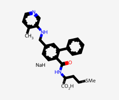 CSCCC(NC(=O)c1ccc(CNc2cnccc2C)cc1-c1ccccc1)C(=O)O.[NaH]